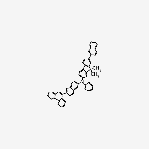 CC1(C)c2cc(-c3ccc4ccccc4c3)ccc2-c2ccc(N(c3ccccc3)c3ccc4cc(-c5cc6ccccc6c6ccccc56)ccc4c3)cc21